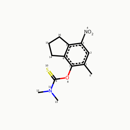 Cc1cc([N+](=O)[O-])c2c(c1OC(=S)N(C)C)CCC2